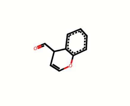 O=CC1C=COc2ccccc21